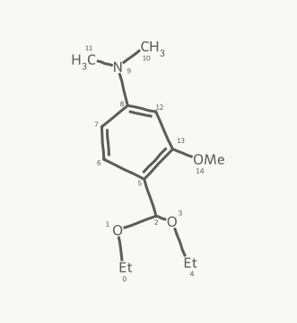 CCOC(OCC)c1ccc(N(C)C)cc1OC